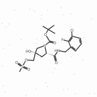 CC(C)(C)OC(=O)N1C[C@](O)(COS(C)(=O)=O)C[C@H]1C(=O)NCc1cccc(Cl)c1F